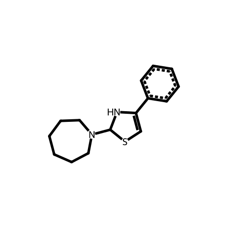 C1=C(c2ccccc2)NC(N2CCCCCC2)S1